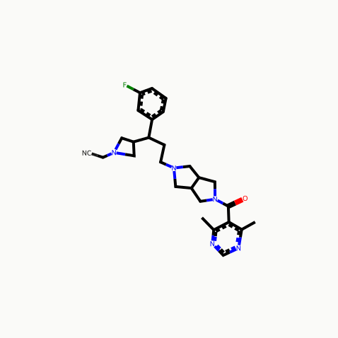 Cc1ncnc(C)c1C(=O)N1CC2CN(CCC(c3cccc(F)c3)C3CN(CC#N)C3)CC2C1